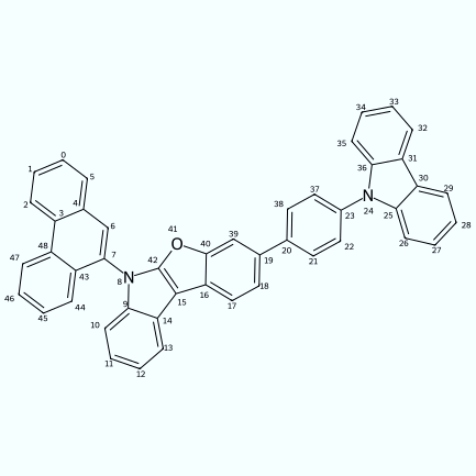 c1ccc2c(c1)cc(-n1c3ccccc3c3c4ccc(-c5ccc(-n6c7ccccc7c7ccccc76)cc5)cc4oc31)c1ccccc12